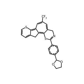 FC(F)(F)C1=CC2=C3SC=CC=C3CC2=C2SC(c3ccc(C4OCCO4)cc3)=NCC2=C1